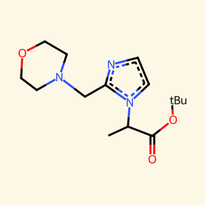 CC(C(=O)OC(C)(C)C)n1ccnc1CN1CCOCC1